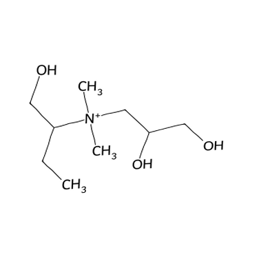 CCC(CO)[N+](C)(C)CC(O)CO